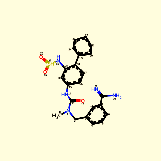 CN(Cc1cccc(C(=N)N)c1)C(=O)Nc1ccc(-c2ccccc2)c(N[SH](=O)=O)c1